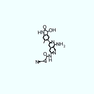 Cc1cc2c(cc1-c1cc3cc(NC(=O)C4CC4C#N)ncc3c(N)n1)C(O)C(=O)N2